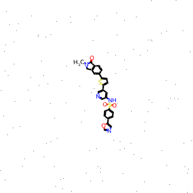 CN1Cc2cc(-c3ccc(-c4cncc(NS(=O)(=O)c5ccc(-c6cnco6)cc5)c4)s3)ccc2C1=O